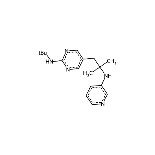 CC(C)(C)Nc1ncc(CC(C)(C)Nc2cccnc2)cn1